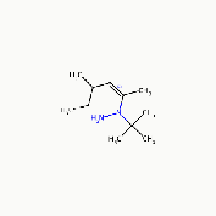 CCC(C)/C=C(/C)N(N)C(C)(C)C